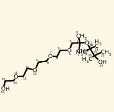 CC(C)(COCCOCCOCCOCCO)OC(C)(C)C(C)(C)O